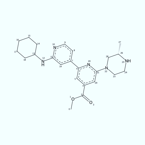 COC(=O)c1cc(-c2ccnc(NC3CCCCC3)c2)nc(N2CCN[C@@H](C)C2)c1